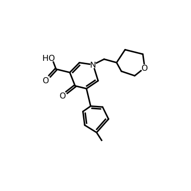 Cc1ccc(-c2cn(CC3CCOCC3)cc(C(=O)O)c2=O)cc1